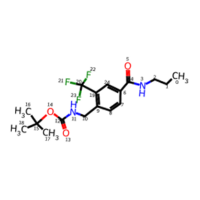 CCCNC(=O)c1ccc(CNC(=O)OC(C)(C)C)c(C(F)(F)F)c1